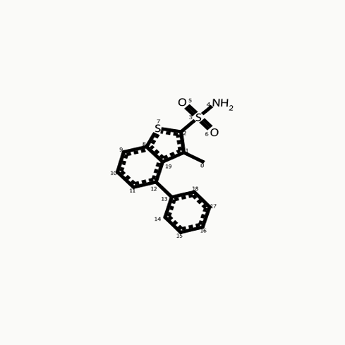 Cc1c(S(N)(=O)=O)sc2cccc(-c3ccccc3)c12